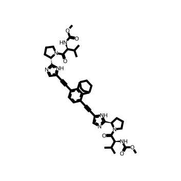 COC(=O)N[C@H](C(=O)N1CCC[C@@H]1c1ncc(C#Cc2ccc(C#Cc3cnc([C@@H]4CCCN4C(=O)[C@@H](NC(=O)OC)C(C)C)[nH]3)c3c2C2CCC3CC2)[nH]1)C(C)C